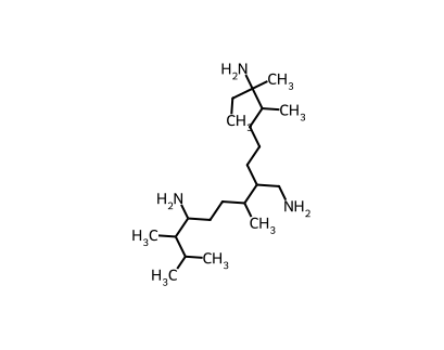 CCC(C)(N)C(C)CCCC(CN)C(C)CCC(N)C(C)C(C)C